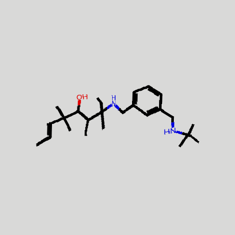 CC=CC(C)(C)C(O)C(C)C(C)(C)NCc1cccc(CNC(C)(C)C)c1